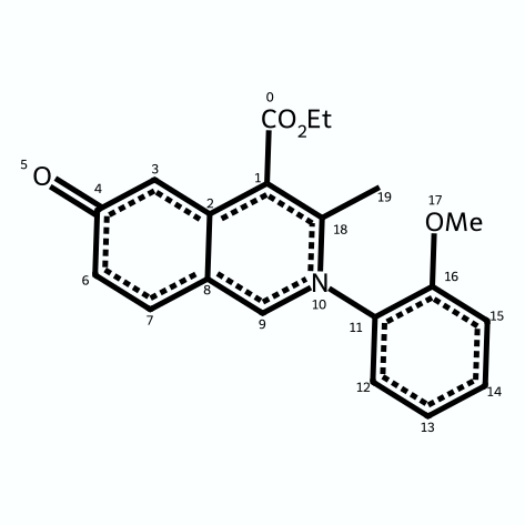 CCOC(=O)c1c2cc(=O)ccc-2cn(-c2ccccc2OC)c1C